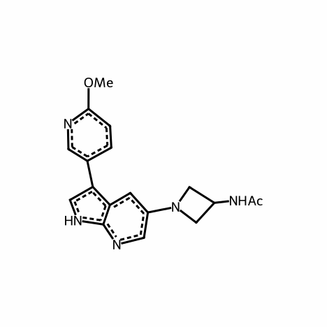 COc1ccc(-c2c[nH]c3ncc(N4CC(NC(C)=O)C4)cc23)cn1